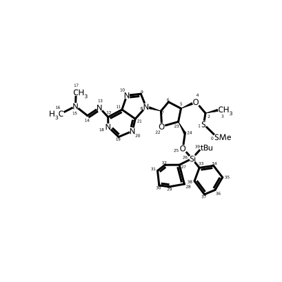 CSS[C@H](C)O[C@@H]1C[C@H](n2cnc3c(/N=C/N(C)C)ncnc32)O[C@@H]1CO[Si](c1ccccc1)(c1ccccc1)C(C)(C)C